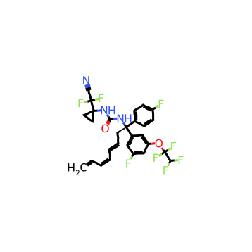 C=C/C=C\C=C\C[C@@](NC(=O)NC1(C(F)(F)C#N)CC1)(c1ccc(F)cc1)c1cc(F)cc(OC(F)(F)C(F)F)c1